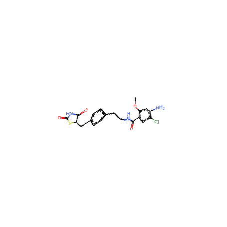 COc1cc(N)c(Cl)cc1C(=O)NCCc1ccc(C[C@H]2SC(=O)NC2=O)cc1